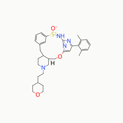 Cc1cccc(C)c1-c1cc2nc(n1)N[S+]([O-])c1cccc(c1)CC1CCN(CCC3CCOCC3)C[C@@H]1CO2